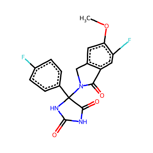 COc1cc2c(cc1F)C(=O)N(C1(c3ccc(F)cc3)NC(=O)NC1=O)C2